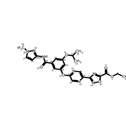 CCOC(=O)c1nc(-c2cnc(Oc3cc(OC(C)C)cc(C(=O)Nc4ccn(C)n4)c3)cn2)no1